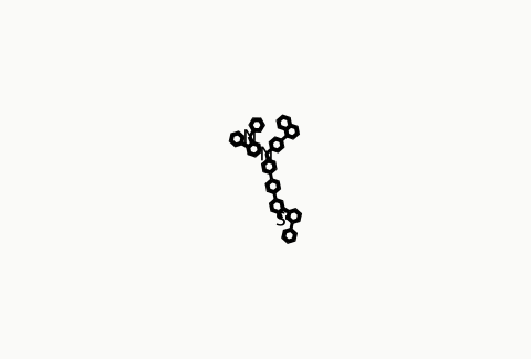 c1ccc(-c2cccc3c2sc2ccc(-c4ccc(-c5ccc(N(c6ccc(-c7cccc8ccccc78)cc6)c6ccc7c8ccccc8n(-c8ccccc8)c7c6)cc5)cc4)cc23)cc1